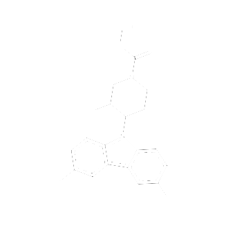 CC(C)(C)OC(=O)N1CCC(n2c3ccc(Cl)cc3c3cc(Cl)ccc32)C(F)C1